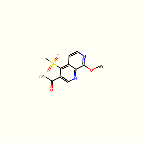 CCCC(=O)c1cnc2c(OC(C)C)nccc2c1S(C)(=O)=O